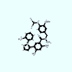 COc1cc(CN(C)C(=O)c2cc(-c3ccnn3-c3ccccc3C)c(O)cc2O)ccc1OC(F)F